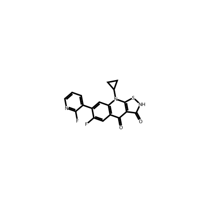 O=c1[nH]sc2c1c(=O)c1cc(F)c(-c3cccnc3F)cc1n2C1CC1